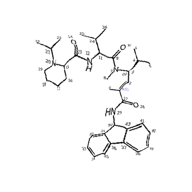 C/C(=C\[C@H](C(C)C)N(C)C(=O)C(NC(=O)C1CCCCN1C(C)C)C(C)C)C(=O)NC1c2ccccc2-c2ccccc21